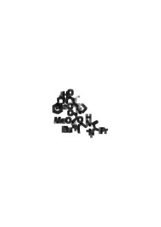 C=C(NCC(=O)N(C)C([C@@H](C)CC)[C@@H](CC(=O)N1CCC[C@H]1[C@H](OC)[C@@H](C)C(=O)N[C@H](C)Cc1ccccc1)OC)C(C(C)C)N(C)C